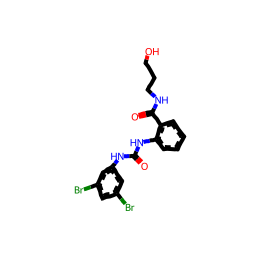 O=C(Nc1cc(Br)cc(Br)c1)Nc1ccccc1C(=O)NCCCO